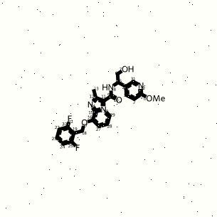 COc1ccc(C(CO)NC(=O)c2c(C)nc3c(OCc4c(F)cccc4F)cccn23)cn1